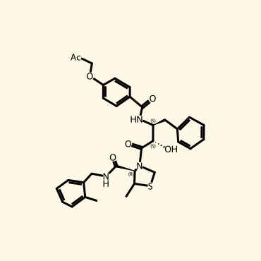 CC(=O)COc1ccc(C(=O)N[C@@H](Cc2ccccc2)[C@H](O)C(=O)N2CSC(C)[C@H]2C(=O)NCc2ccccc2C)cc1